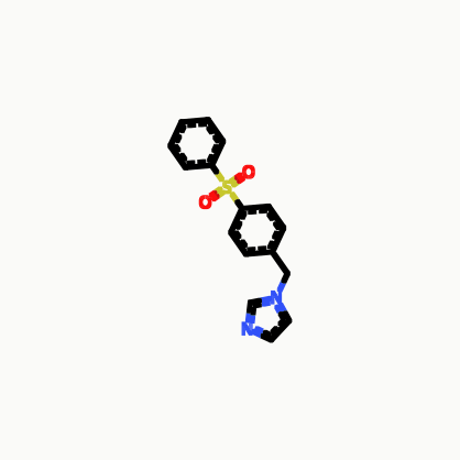 O=S(=O)(c1ccccc1)c1ccc(Cn2ccnc2)cc1